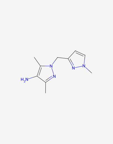 Cc1nn(Cc2ccn(C)n2)c(C)c1N